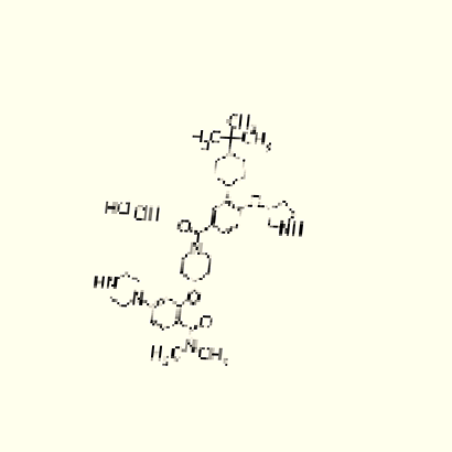 CN(C)C(=O)c1ccc(N2CCNCC2)cc1OC1CCN(C(=O)c2ccc(O[C@H]3CCNC3)c([C@H]3CC[C@H](C(C)(C)C)CC3)c2)CC1.Cl.Cl